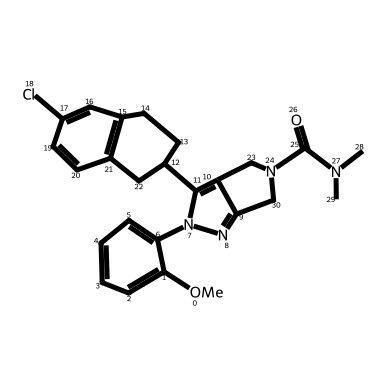 COc1ccccc1-n1nc2c(c1C1CCc3cc(Cl)ccc3C1)CN(C(=O)N(C)C)C2